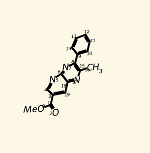 COC(=O)c1cnc2nc(-c3ccccc3)c(C)nc2c1